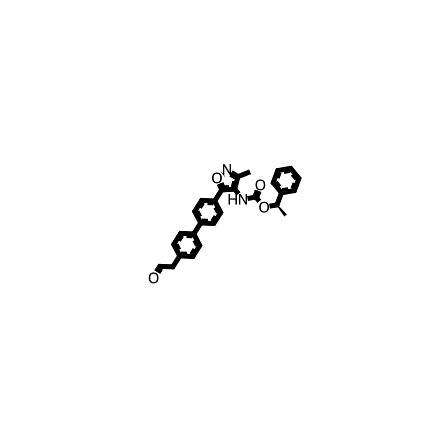 Cc1noc(-c2ccc(-c3ccc(CC=O)cc3)cc2)c1NC(=O)O[C@H](C)c1ccccc1